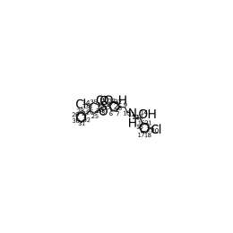 O=C(O)C1(S(=O)(=O)c2ccc(CCNC[C@H](O)c3cccc(Cl)c3)cc2)C=CC(c2ccccc2)=C(Cl)C1